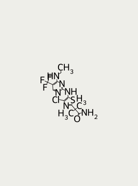 CCNc1nc(Nc2sc(C(C)(C)C(N)=O)nc2Cl)ncc1C(F)(F)F